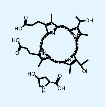 CC1=C(CCC(=O)O)c2cc3[nH]c(cc4nc(cc5[nH]c(cc1n2)c(C(C)O)c5C)C(C(C)O)=C4C)c(C)c3CCC(=O)O.O=C(O)[C@@H]1CC(O)CN1